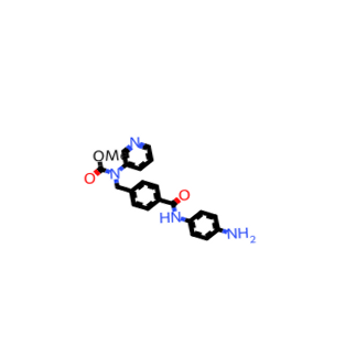 COC(=O)N(Cc1ccc(C(=O)Nc2ccc(N)cc2)cc1)c1cccnc1